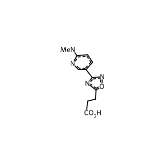 CNc1ccc(-c2noc(CCC(=O)O)n2)cn1